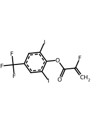 C=C(F)C(=O)Oc1c(I)cc(C(F)(F)F)cc1I